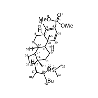 COP(=O)(OC)C1=C(F)[C@@H]2CC[C@@H]3[C@H](CC[C@]4(C)[C@@H](C(C)C(O[SiH](C)C)C(C)(C)C)CC[C@@H]34)[C@@]2(C)C=C1